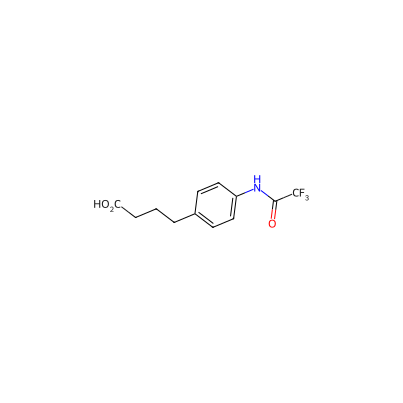 O=C(O)CCCc1ccc(NC(=O)C(F)(F)F)cc1